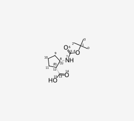 CC(C)(C)OC(=O)N[C@H]1CCC[C@H]1C(=O)O